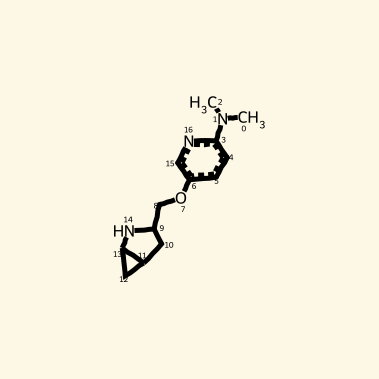 CN(C)c1ccc(OCC2CC3CC3N2)cn1